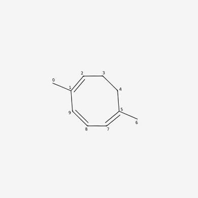 CC1=CCCC(C)=CC=C1